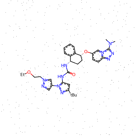 CCOCCn1cc(-n2nc(C(C)(C)C)cc2NC(=O)N[C@H]2CC[C@@H](Oc3ccc4nnc(N(C)C)n4c3)c3ccccc32)cn1